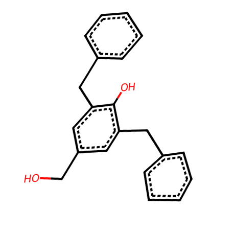 OCc1cc(Cc2ccccc2)c(O)c(Cc2ccccc2)c1